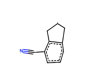 N#Cc1cccc2c1C[CH]C2